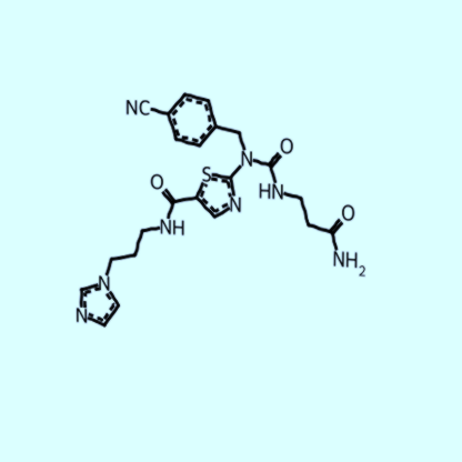 N#Cc1ccc(CN(C(=O)NCCC(N)=O)c2ncc(C(=O)NCCCn3ccnc3)s2)cc1